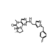 C[C@H]1CCN2c3nc(NCc4cnn(Cc5ccc(F)cc5)c4)ncc3N(C)C(=O)[C@@H]12